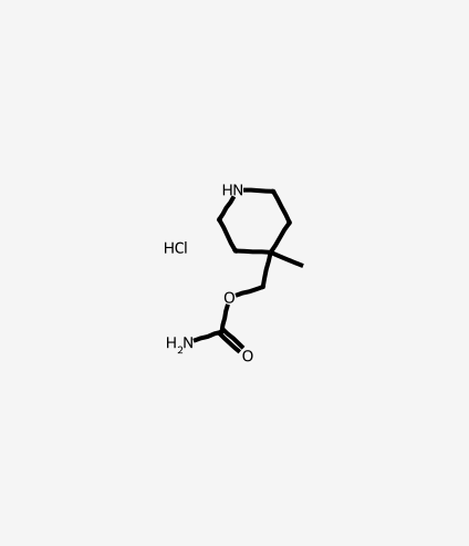 CC1(COC(N)=O)CCNCC1.Cl